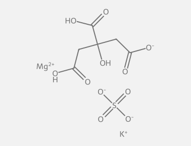 O=C([O-])CC(O)(CC(=O)O)C(=O)O.O=S(=O)([O-])[O-].[K+].[Mg+2]